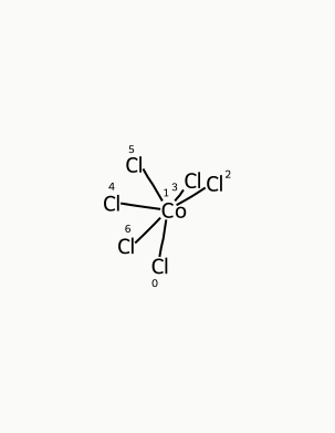 [Cl][Co]([Cl])([Cl])([Cl])([Cl])[Cl]